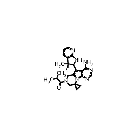 CC(C)C(=O)N1Cc2c(C3Nc4ncccc4C3(C)Cl)c3c(N)ncnc3n2C2(CC2)C1